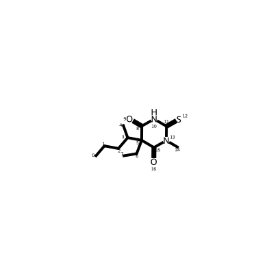 CCCC(C)C1(CC)C(=O)NC(=S)N(C)C1=O